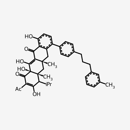 CC(=O)C1=C(O)C(C(C)C)[C@@]2(C)C[C@@]3(C)Cc4c(-c5ccc(CCCc6cccc(C)c6)cc5)ccc(O)c4C(=O)C3=C(O)[C@@]2(O)C1=O